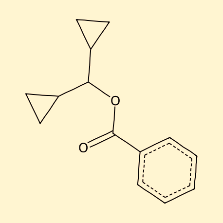 O=C(OC(C1CC1)C1CC1)c1ccccc1